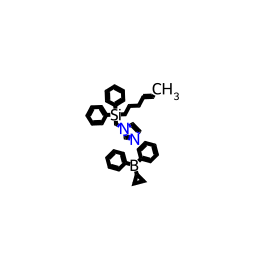 CC=CCCC[Si](Cn1ccnc1)(c1ccccc1)c1ccccc1.c1ccc(B(c2ccccc2)C2CC2)cc1